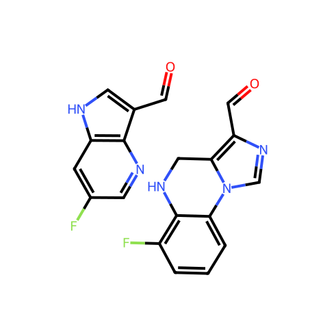 O=Cc1c[nH]c2cc(F)cnc12.O=Cc1ncn2c1CNc1c(F)cccc1-2